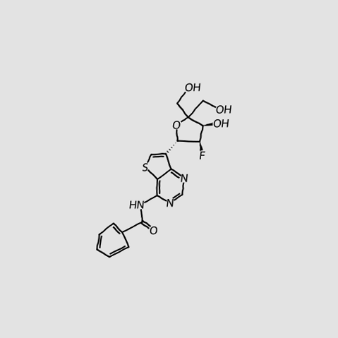 O=C(Nc1ncnc2c([C@@H]3OC(CO)(CO)[C@@H](O)[C@H]3F)csc12)c1ccccc1